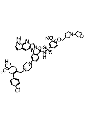 CC1(C)CCC(CN2CCN(c3ccc(C(=O)NS(=O)(=O)c4ccc(OCC5CCN(C6CCOC6)C5)c([N+](=O)[O-])c4)c(-n4ncc5nc6[nH]ccc6cc54)c3)CC2)=C(c2ccc(Cl)cc2)C1